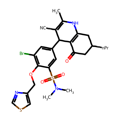 CCCC1CC(=O)C2=C(C1)NC(C)=C(C#N)C2c1cc(Br)c(OCc2cscn2)c(S(=O)(=O)N(C)C)c1